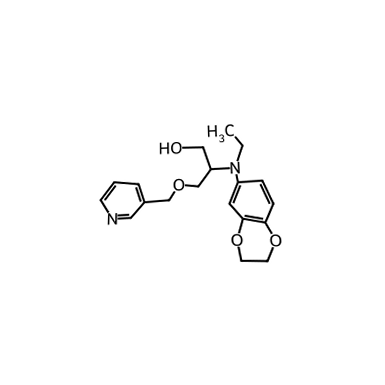 CCN(c1ccc2c(c1)OCCO2)C(CO)COCc1cccnc1